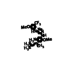 COc1cc(Nc2cc(Nc3cc(N)c(N(C)CCN(C)C)cc3OC)ncn2)cc(C(F)(F)F)c1